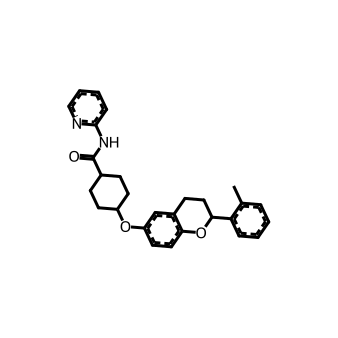 Cc1ccccc1C1CCc2cc(OC3CCC(C(=O)Nc4ccccn4)CC3)ccc2O1